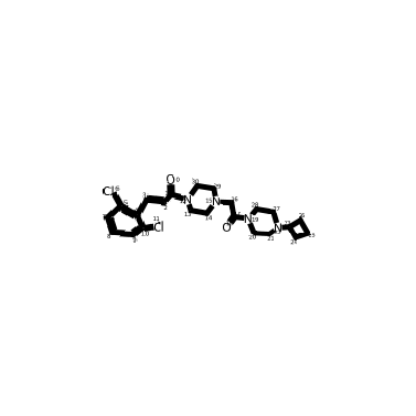 O=C(C=Cc1c(Cl)cccc1Cl)N1CCN(CC(=O)N2CCN(C3CCC3)CC2)CC1